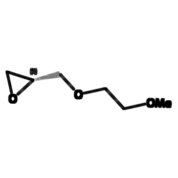 COCCOC[C@H]1CO1